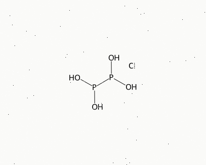 OP(O)P(O)O.[C]